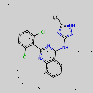 Cc1nc(Nc2nc(-c3c(Cl)cccc3Cl)nc3ccccc23)n[nH]1